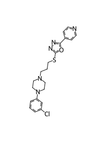 Clc1cccc(N2CCN(CCCSc3nnc(-c4ccncc4)o3)CC2)c1